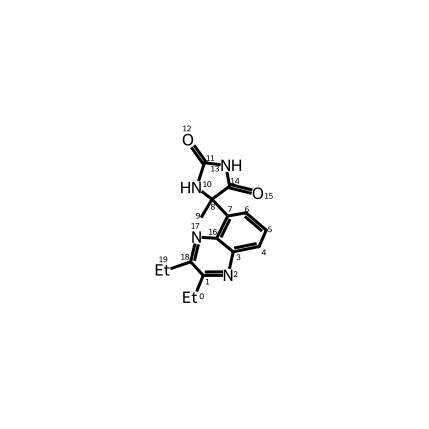 CCc1nc2cccc(C3(C)NC(=O)NC3=O)c2nc1CC